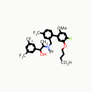 COc1cc(F)c(OCCCC(=O)O)cc1-c1ccc(C(F)(F)F)cc1CN(C(C)C)C(C)C(O)c1cc(C(F)(F)F)cc(C(F)(F)F)c1